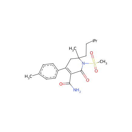 Cc1ccc(C2=C(C(N)=O)C(=O)N(S(C)(=O)=O)C(C)(CCC(C)C)C2)cc1